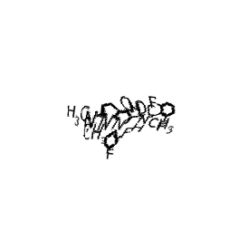 CN(C)c1ccc2c(=O)c(C(=O)NC(C)(C)c3c(F)cccc3F)cn(-c3ccc(F)cc3F)c2n1